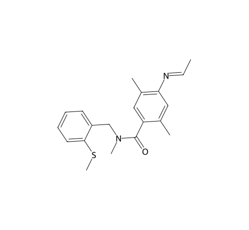 C/C=N/c1cc(C)c(C(=O)N(C)Cc2ccccc2SC)cc1C